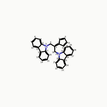 C1=CC(=C(Cn2c3ccccc3c3ccccc32)Cn2c3ccccc3c3ccccc32)C=C1